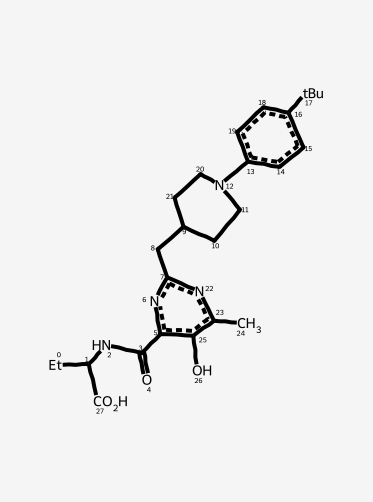 CCC(NC(=O)c1nc(CC2CCN(c3ccc(C(C)(C)C)cc3)CC2)nc(C)c1O)C(=O)O